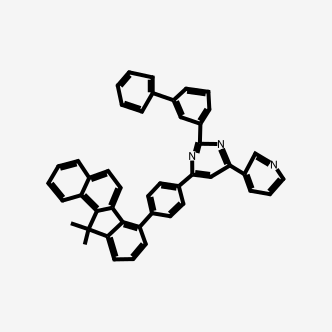 CC1(C)c2cccc(-c3ccc(-c4cc(-c5cccnc5)nc(-c5cccc(-c6ccccc6)c5)n4)cc3)c2-c2ccc3ccccc3c21